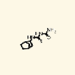 NC(=O)NC(=S)NC1CC2CCC1C2